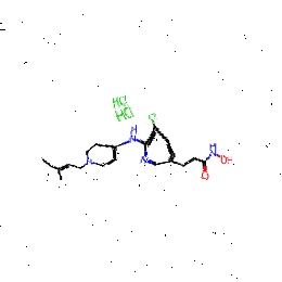 CC(C)=CCN1CCC(Nc2ncc(/C=C/C(=O)NO)cc2Cl)CC1.Cl.Cl